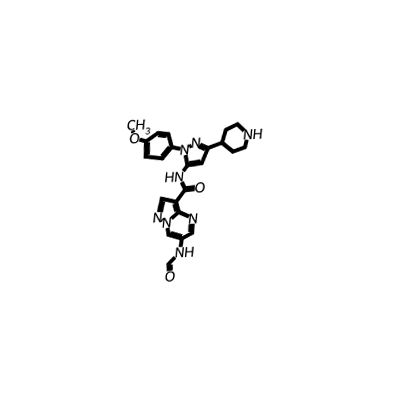 COc1ccc(-n2nc(C3CCNCC3)cc2NC(=O)c2cnn3cc(NC=O)cnc23)cc1